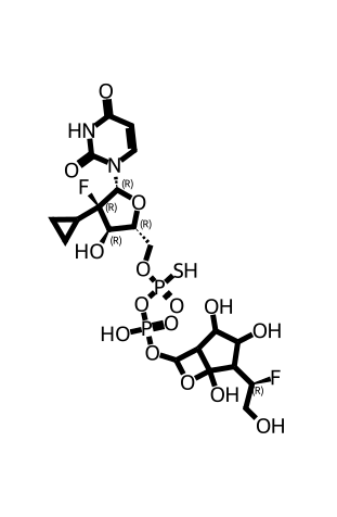 O=c1ccn([C@@H]2O[C@H](COP(=O)(S)OP(=O)(O)OC3OC4(O)C3C(O)C(O)C4[C@@H](F)CO)[C@@H](O)[C@]2(F)C2CC2)c(=O)[nH]1